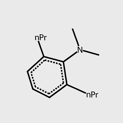 CCCc1cccc(CCC)c1N(C)C